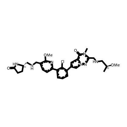 COc1nc(-c2cccc(-c3cc4c(=O)n(C)c(CNC[C@H](C)OC)nn4c3)c2Cl)ccc1CNC[C@@H]1CCC(=O)N1